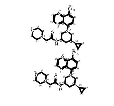 O=C(CN1CCOCC1)N[C@@H]1C[C@H](C2CC2)CN(c2ccc(C(F)(F)F)c3nccnc23)C1.O=C(CN1CCOCC1)N[C@@H]1C[C@H](C2CC2)CN(c2ccc(C(F)(F)F)c3nccnc23)C1